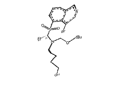 C[CH][C@@H](N(CCCCO)COC(C)(C)C)S(=O)(=O)c1cccc2cncc(Br)c12